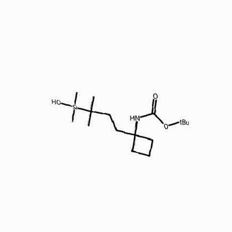 CC(C)(C)OC(=O)NC1(CCC(C)(C)[Si](C)(C)O)CCC1